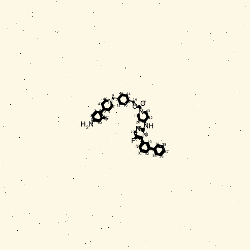 Nc1ccc(C2CCN(C[C@H]3CC[C@H](COC(=O)N4CCC(Nc5ncc(F)c(-c6cccc(-c7ccccc7)c6)n5)CC4)CC3)CC2)c(F)c1